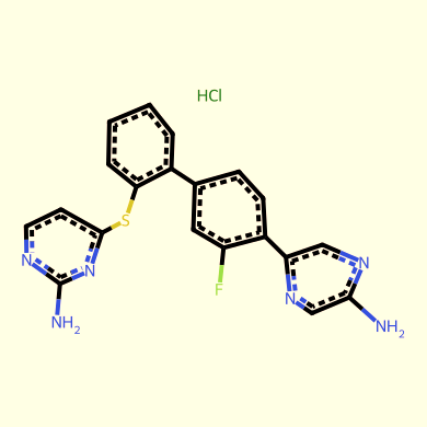 Cl.Nc1cnc(-c2ccc(-c3ccccc3Sc3ccnc(N)n3)cc2F)cn1